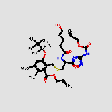 C=CCOC(=O)Nc1noc(C(CSCc2c(O[Si](C)(C)C(C)(C)C(C)C)cc(OC)c(C)c2C(=O)OCC=C)NC(=O)CCCCO)n1